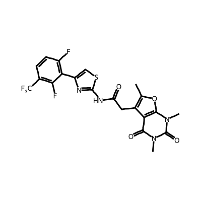 Cc1oc2c(c1CC(=O)Nc1nc(-c3c(F)ccc(C(F)(F)F)c3F)cs1)c(=O)n(C)c(=O)n2C